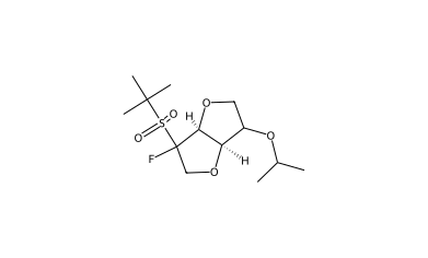 CC(C)OC1CO[C@H]2[C@@H]1OCC2(F)S(=O)(=O)C(C)(C)C